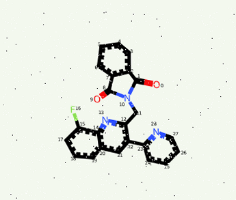 O=C1c2ccccc2C(=O)N1Cc1nc2c(F)cccc2cc1-c1ccccn1